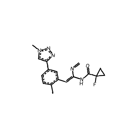 C=N/C(=C\c1cc(-c2cn(C)nn2)ccc1C)NC(=O)C1(F)CC1